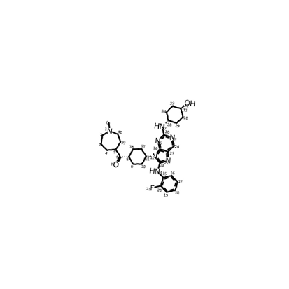 CN1CCCC(C(=O)[C@H]2CC[C@@H](n3c(Nc4ccccc4F)nc4cnc(N[C@H]5CC[C@H](O)CC5)nc43)CC2)CC1